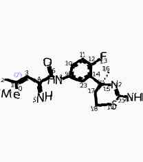 CN/C(C)=C\C(=N)C(=O)Nc1ccc(F)c([C@]2(C)CCSC(N)=N2)c1